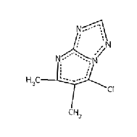 Cc1nc2ncnn2c(Cl)c1C